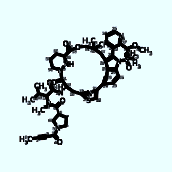 CC#CC(=O)N1CC[C@H](C(=O)N(C)C(C(=O)N[C@H]2Cc3nc(cs3)-c3ccc4c(c3)c(c(-c3cccnc3[C@H](C)OC)n4S(C)(=O)=O)CC(C)(C)COC(=O)[C@@H]3CCCN(N3)C2=O)C(C)C)C1